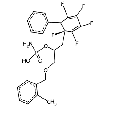 Cc1ccccc1COCC(C[C@@]1(F)C(F)=C(F)C(F)=C(F)C1c1ccccc1)OP(N)(=O)O